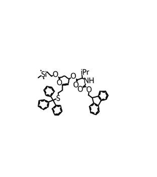 CC(C)C(NC(=O)OCC1c2ccccc2-c2ccccc21)C(=O)OC(/C=C/CCSC(c1ccccc1)(c1ccccc1)c1ccccc1)CC(=O)OCC[Si](C)(C)C